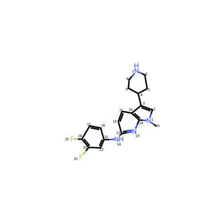 Cn1cc(C2CCNCC2)c2ccc(Nc3ccc(F)c(F)c3)nc21